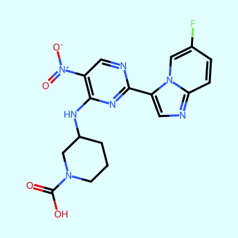 O=C(O)N1CCCC(Nc2nc(-c3cnc4ccc(F)cn34)ncc2[N+](=O)[O-])C1